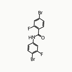 O=C(Nc1ccc(Br)c(F)c1)c1ccc(Br)cc1F